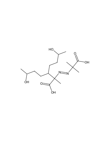 CC(O)CCC(CCC(C)O)C(C)(N=NC(C)(C)C(=O)O)C(=O)O